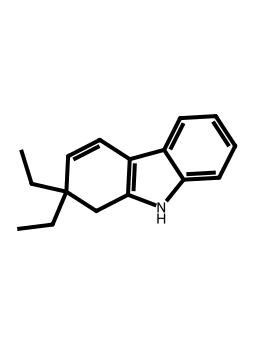 CCC1(CC)C=Cc2c([nH]c3ccccc23)C1